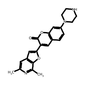 Cc1cc2cc(-c3cc4ccc(N5CCNCC5)cc4oc3=O)oc2c(C)n1